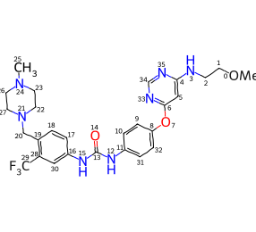 COCCNc1cc(Oc2ccc(NC(=O)Nc3ccc(CN4CCN(C)CC4)c(C(F)(F)F)c3)cc2)ncn1